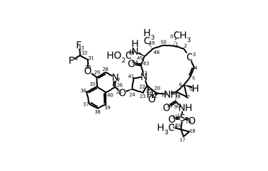 C[C@@H]1CC/C=C\[C@@H]2C[C@@]2(C(=O)NS(=O)(=O)C2(C)CC2)NC(=O)[C@@H]2C[C@@H](Oc3ncc(OCC(F)F)c4ccccc34)CN2C(=O)[C@@H](NC(=O)O)[C@H](C)C1